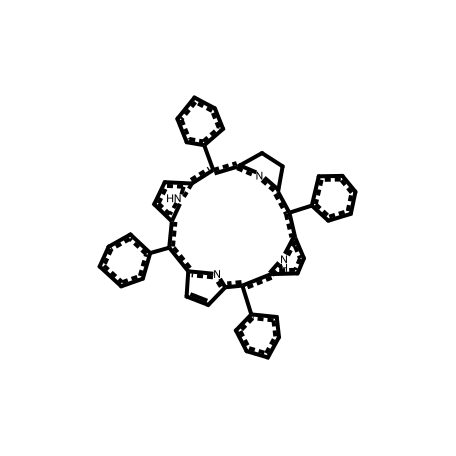 C1=Cc2nc1c(-c1ccccc1)c1ccc([nH]1)c(-c1ccccc1)c1nc(c(-c3ccccc3)c3ccc([nH]3)c2-c2ccccc2)CC1